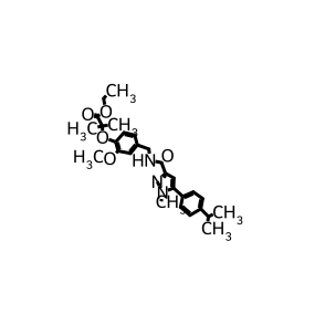 CCOC(=O)C(C)(C)Oc1ccc(CNC(=O)c2cc(-c3ccc(C(C)C)cc3)n(C)n2)cc1OC